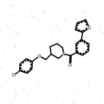 O=C(c1cccc(-c2ccco2)c1)N1CCCC(COc2ccc(Cl)cc2)C1